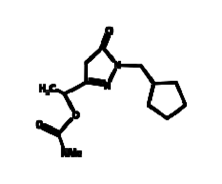 CNC(=O)OC(C)C1=NN(CC2CCCC2)C(=O)C1